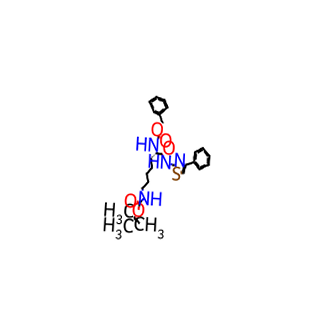 CC(C)(C)OC(=O)NCCCCC[C@H](NC(=O)OCc1ccccc1)C(=O)Nc1nc(-c2ccccc2)cs1